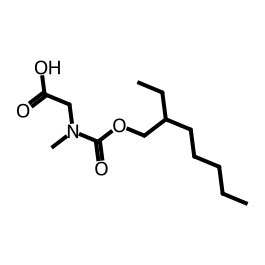 CCCCCC(CC)COC(=O)N(C)CC(=O)O